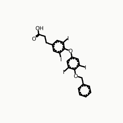 O=C(O)CCc1cc(I)c(Oc2cc(I)c(OCc3ccccc3)c(I)c2)c(I)c1